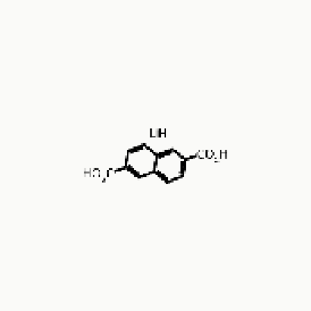 O=C(O)c1ccc2cc(C(=O)O)ccc2c1.[LiH]